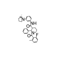 Cc1cccc(F)c1C(=O)N1CCCC(C(=O)Nc2cccc(N3CCC[C@@H]3C)c2)C1c1ccccc1